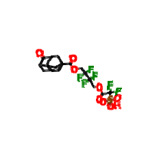 O=C1C2CC3CC1CC(C(=O)OCC(F)(F)C(F)(F)COC(=O)C(F)(F)S(=O)(=O)O)(C3)C2